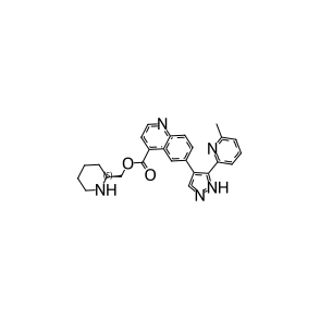 Cc1cccc(-c2[nH]ncc2-c2ccc3nccc(C(=O)OC[C@@H]4CCCCN4)c3c2)n1